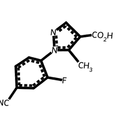 Cc1c(C(=O)O)cnn1-c1ccc(C#N)cc1F